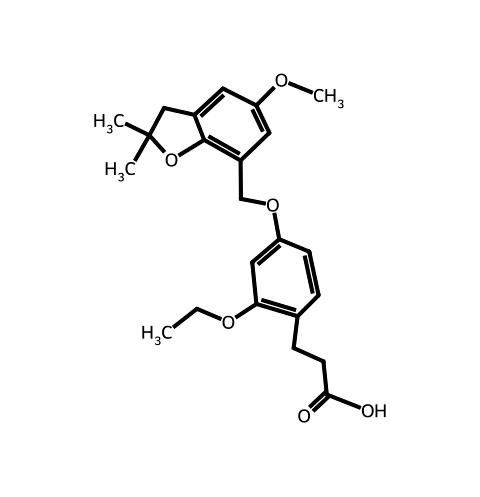 CCOc1cc(OCc2cc(OC)cc3c2OC(C)(C)C3)ccc1CCC(=O)O